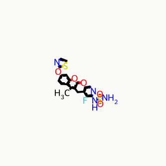 Cc1c(Cc2ccnc(NS(N)(=O)=O)c2F)c(=O)oc2cc(Oc3nccs3)ccc12